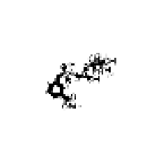 COC(=O)c1cccc(CS(=O)(=O)NCB(O)OC(C)(C)C(C)(C)O)c1